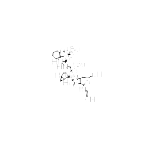 C#CCCC(NC(=O)[C@@H]1[C@H]2C[C@H]2CN1C(=O)[C@@H](NC(=O)NC1(CS(=O)(=O)C(C)(C)C)CCCCC1)C(C)(C)C)C(=O)C(=O)NCC#C